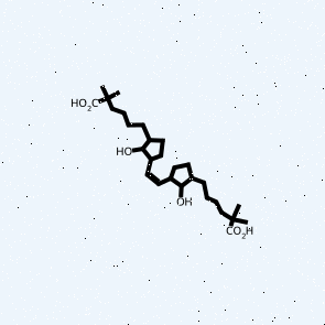 CC(C)(CCCCC1CCC(/C=C\C2CCC(CCCCC(C)(C)C(=O)O)C2O)C1O)C(=O)O